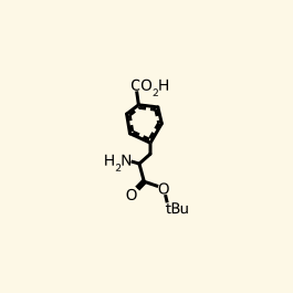 CC(C)(C)OC(=O)C(N)Cc1ccc(C(=O)O)cc1